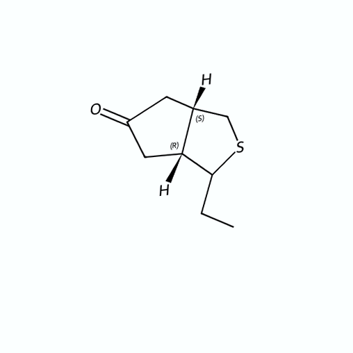 CCC1SC[C@H]2CC(=O)C[C@@H]12